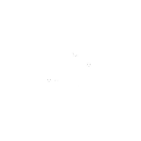 COC(=O)C(=O)OC.[Ni]